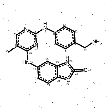 Cc1cnc(Nc2ccc(CN)cc2)nc1Nc1ccc2oc(=O)[nH]c2c1